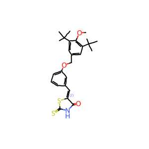 COc1c(C(C)(C)C)cc(COc2cccc(/C=C3\SC(=S)NC3=O)c2)cc1C(C)(C)C